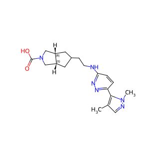 Cc1cnn(C)c1-c1ccc(NCCC2C[C@@H]3CN(C(=O)O)C[C@@H]3C2)nn1